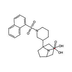 O=C(O)N1C2CCC1(C1CCCN(S(=O)(=O)c3cccc4ccccc34)C1)CC(O)C2